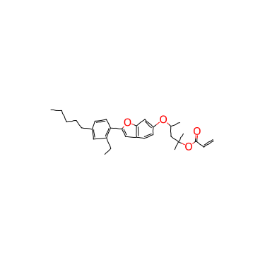 C=CC(=O)OC(C)(C)CC(C)Oc1ccc2cc(-c3ccc(CCCCC)cc3CC)oc2c1